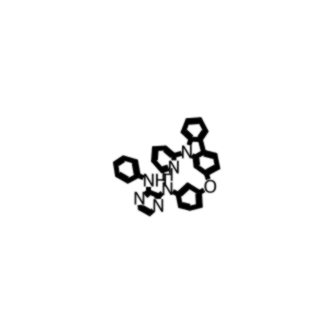 c1ccc(Nc2nccnc2Nc2cccc(Oc3ccc4c5ccccc5n(-c5ccccn5)c4c3)c2)cc1